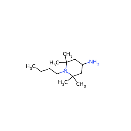 CCCCN1C(C)(C)CC(N)CC1(C)C